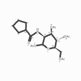 CC(=O)OC[C@H]1OC(OC(C)=O)[C@@H](NC(=O)C2CCCC2)[C@@H](OC(C)=O)[C@@H]1OC(C)=O